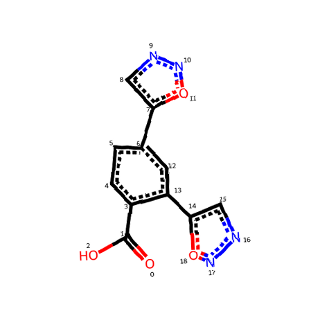 O=C(O)c1ccc(-c2cnno2)cc1-c1cnno1